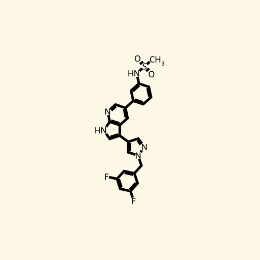 CS(=O)(=O)Nc1cccc(-c2cnc3[nH]cc(-c4cnn(Cc5cc(F)cc(F)c5)c4)c3c2)c1